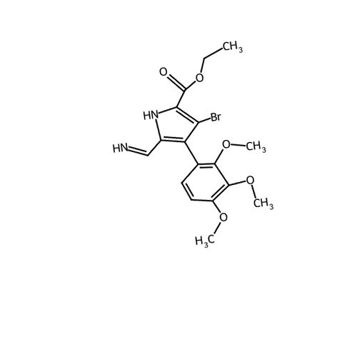 CCOC(=O)c1[nH]c(C=N)c(-c2ccc(OC)c(OC)c2OC)c1Br